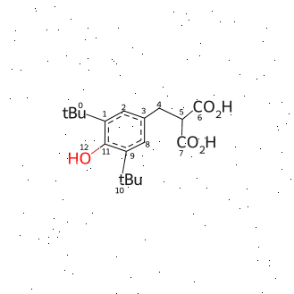 CC(C)(C)c1cc(CC(C(=O)O)C(=O)O)cc(C(C)(C)C)c1O